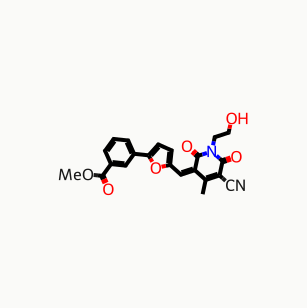 COC(=O)c1cccc(-c2ccc(/C=C3\C(=O)N(CCO)C(=O)C(C#N)=C3C)o2)c1